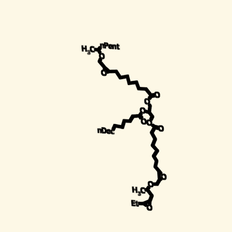 CCCCCCCCCCCCCCCC(=O)OC(COC(=O)CCCCCCCC1OC1COC(C)CCCCC)COC(=O)CCCCCCCC1OC1COC(C)CC1OC1CC